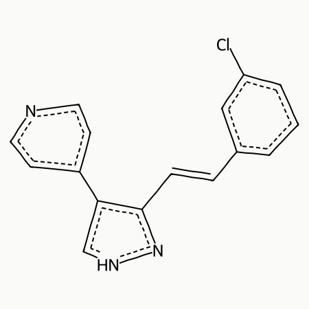 Clc1cccc(/C=C/c2n[nH]cc2-c2ccncc2)c1